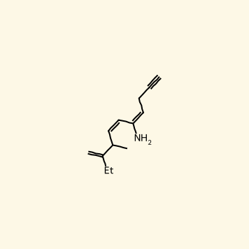 C#CC/C=C(N)\C=C/C(C)C(=C)CC